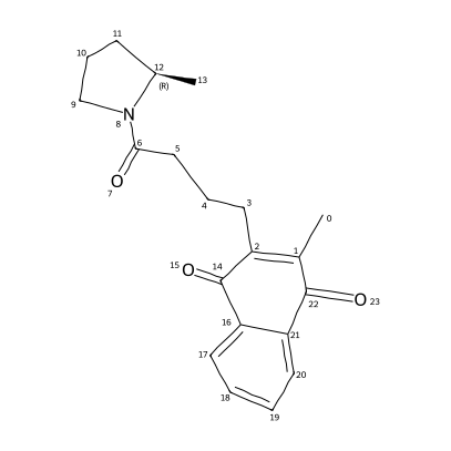 CC1=C(CCCC(=O)N2CCC[C@H]2C)C(=O)c2ccccc2C1=O